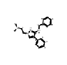 CN(C)CCn1cc(-c2ccccc2)c(OCc2ccccc2)n1